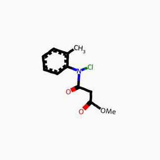 COC(=O)CC(=O)N(Cl)c1ccccc1C